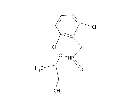 CCC(C)O[PH](=O)Cc1c(Cl)cccc1Cl